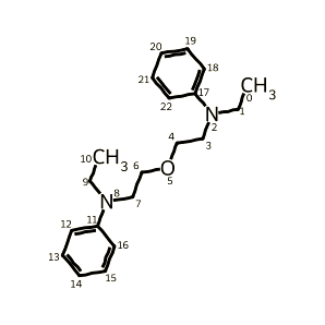 CCN(CCOCCN(CC)c1ccccc1)c1ccccc1